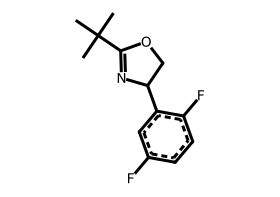 CC(C)(C)C1=NC(c2cc(F)ccc2F)CO1